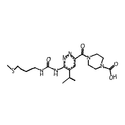 CSCCCNC(=O)Nc1nnc(C(=O)N2CCN(C(=O)O)CC2)cc1C(C)C